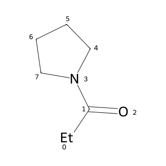 CCC(=O)N1CCCC1